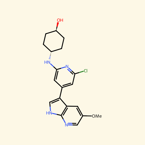 COc1cnc2[nH]cc(-c3cc(Cl)nc(N[C@H]4CC[C@H](O)CC4)c3)c2c1